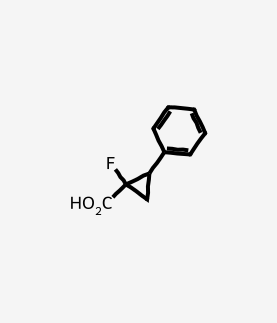 O=C(O)C1(F)CC1c1ccccc1